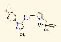 Cc1cc(NCCc2csc(SC(C)(C)C(=O)O)n2)n(-c2ccc(OC(F)(F)F)cc2)n1